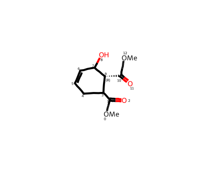 COC(=O)C1CC=CC(O)[C@@H]1C(=O)OC